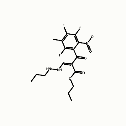 CCCNNC=C(C(=O)OCCC)C(=O)c1c(F)c(C)c(F)c(F)c1[N+](=O)[O-]